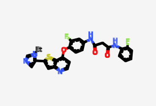 CCn1cncc1-c1cc2nccc(Oc3ccc(NC(=O)CC(=O)Nc4ccccc4F)cc3F)c2s1